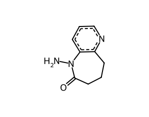 NN1C(=O)CCCc2ncccc21